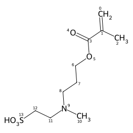 C=C(C)C(=O)OCCCN(C)CCS(=O)(=O)O